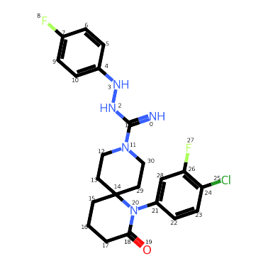 N=C(NNc1ccc(F)cc1)N1CCC2(CCCC(=O)N2c2ccc(Cl)c(F)c2)CC1